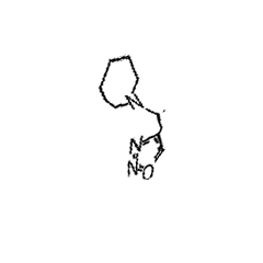 [CH](c1conn1)N1CCCCC1